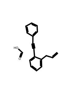 C=CCc1ccccc1C#Cc1ccccc1.O=CO